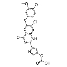 COc1ccc(Sc2cc3c(=O)nc(-n4cc(OC(=O)O)cn4)[nH]c3cc2Cl)cc1OC